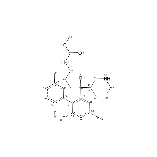 COC(=O)NCCCC(O)(c1cc(F)cc(F)c1-c1cc(C)ccc1F)[C@@H]1CCCNC1